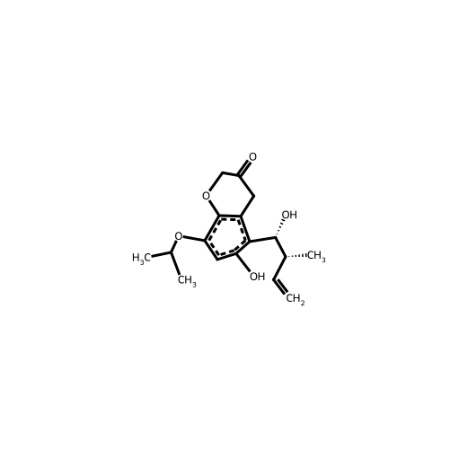 C=C[C@@H](C)[C@@H](O)c1c(O)cc(OC(C)C)c2c1CC(=O)CO2